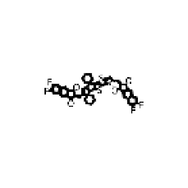 O=C1C(=CC2=CC3=C(c4sc5c(sc6cc(C=C7C(=O)c8cc9cc(F)c(F)cc9cc8C7=O)sc65)c4C34CCCCC4)C23CCCCC3)C(=O)c2cc3cc(F)c(F)cc3cc21